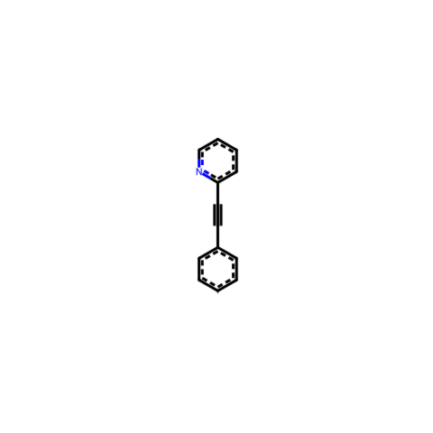 C(#Cc1ccccn1)c1cc[c]cc1